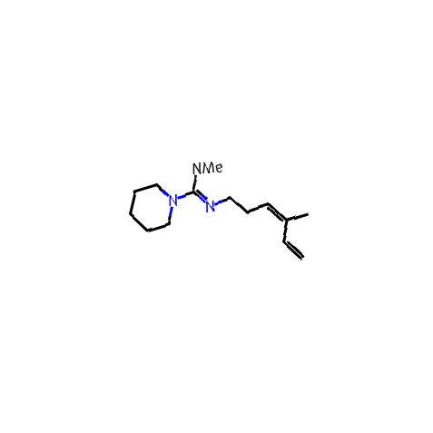 C=C/C(C)=C\CC/N=C(\NC)N1CCCCC1